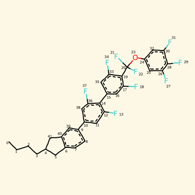 CCCCC1Cc2ccc(-c3cc(F)c(-c4cc(F)c(C(F)(F)Oc5cc(F)c(F)c(F)c5)c(F)c4)c(F)c3)cc2C1